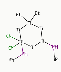 C[CH2][Ti]1([CH2]C)[Ti][Ti]([PH]C(C)C)[Ti][Ti]([Cl])([Cl])([PH]C(C)C)[Ti]1